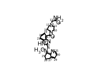 CN(Cc1nc2c(C(=O)N3CCN(CC(N)=O)CC3)cccc2[nH]1)C1CCCc2cccnc21